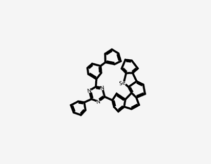 c1ccc(-c2cccc(-c3nc(-c4ccccc4)nc(-c4ccc5ccc6ccc7c8ccccc8[se]c7c6c5c4)n3)c2)cc1